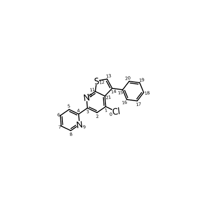 Clc1cc(-c2ccccn2)nc2scc(-c3ccccc3)c12